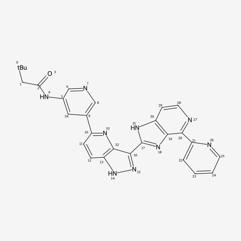 CC(C)(C)CC(=O)Nc1cncc(-c2ccc3[nH]nc(-c4nc5c(-c6ccccn6)nccc5[nH]4)c3n2)c1